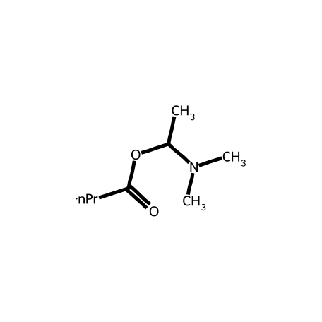 CC[CH]C(=O)OC(C)N(C)C